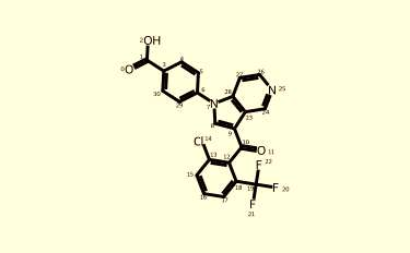 O=C(O)c1ccc(-n2cc(C(=O)c3c(Cl)cccc3C(F)(F)F)c3cnccc32)cc1